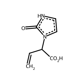 C=CC(C(=O)O)n1cc[nH]c1=O